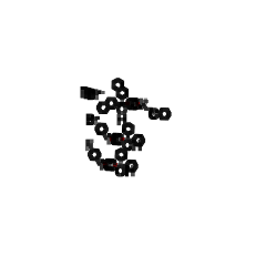 OC(c1ccc2ccccc2c1)(c1ccc2ccccc2c1)C12CC[N+](CCCOc3ccccc3)(CC1)CC2.OC(c1ccccc1)(c1ccccc1)C12CC[N+](Cc3ccc(Br)cc3)(CC1)CC2.OC(c1ccccc1)(c1ccccc1)C12CC[N+](Cc3ccc(F)cc3)(CC1)CC2.[Br-].[Br-].[Br-]